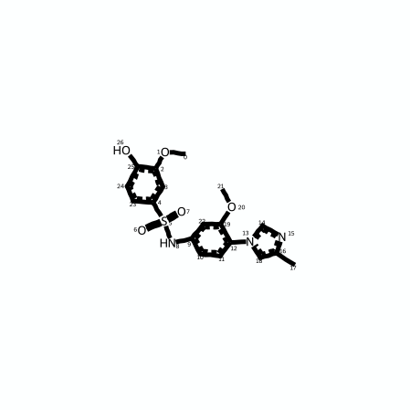 COc1cc(S(=O)(=O)Nc2ccc(-n3cnc(C)c3)c(OC)c2)ccc1O